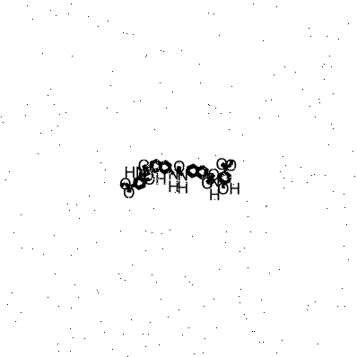 COC(=O)c1ccc(O)c(NS(=O)(=O)c2ccc3ccc(NC(=O)Nc4ccc5ccc(S(=O)(=O)Nc6cc(C(=O)OC)ccc6O)cc5c4)cc3c2)c1